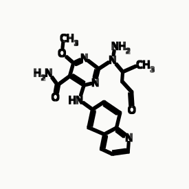 COc1nc(N(N)C(C)CC=O)nc(Nc2ccc3ncccc3c2)c1C(N)=O